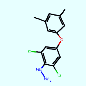 Cc1cc(C)cc(Oc2cc(Cl)c(NN)c(Cl)c2)c1